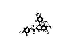 COc1cc2c(c(OC)c1OC)[C@@H](c1ccc3c(c1)OCO3)N[C@H](C(=O)Nc1ccc(Cl)c(F)c1)C2